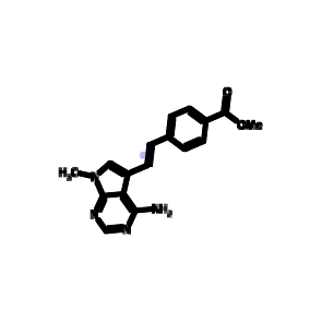 COC(=O)c1ccc(/C=C/c2cn(C)c3ncnc(N)c23)cc1